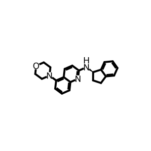 c1ccc2c(c1)CC[C@H]2Nc1ccc2c(N3CCOCC3)cccc2n1